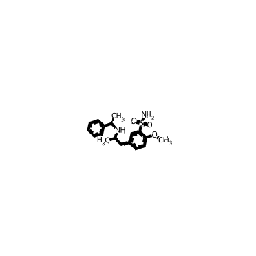 COc1ccc(CC(C)N[C@H](C)c2ccccc2)cc1S(N)(=O)=O